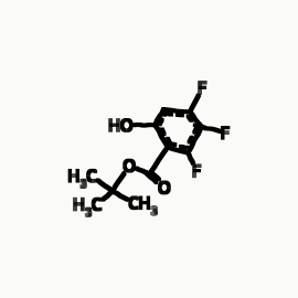 CC(C)(C)OC(=O)c1c(O)cc(F)c(F)c1F